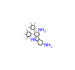 Cc1cc(-c2c(N)cc3c([nH]c4ccc(N)cc43)c2-c2cc(C)c(C)c(C)c2)cc(C)c1C